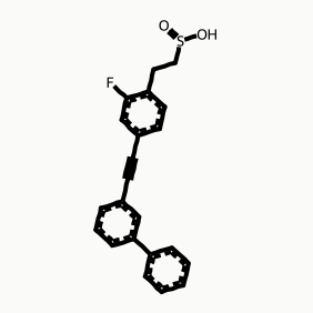 O=S(O)CCc1ccc(C#Cc2cccc(-c3ccccc3)c2)cc1F